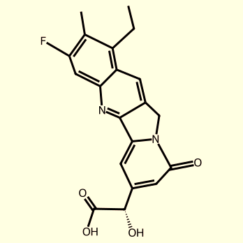 CCc1c(C)c(F)cc2nc3c(cc12)Cn1c-3cc([C@H](O)C(=O)O)cc1=O